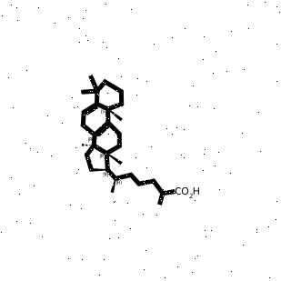 CC(CCC[C@@H](C)[C@H]1CC[C@@]2(C)C3=C(CC[C@]12C)[C@@]1(C)CCCC(C)(C)C1=CC3)C(=O)O